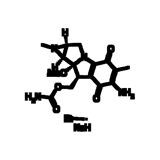 CO[C@@]12[C@H](COC(N)=O)C3=C(C(=O)C(C)=C(N)C3=O)N1C[C@H]1[C@@H]2N1C.[CH2]CC.[NaH]